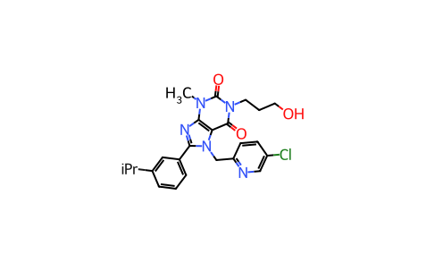 CC(C)c1cccc(-c2nc3c(c(=O)n(CCCO)c(=O)n3C)n2Cc2ccc(Cl)cn2)c1